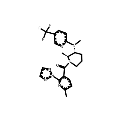 Cc1ccc(C(=O)N2CCC[C@@H](N(C)c3ccc(C(F)(F)F)cn3)[C@@H]2C)c(-n2nccn2)n1